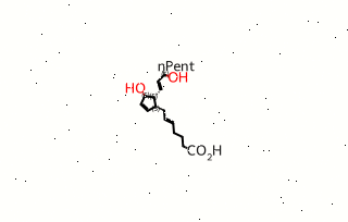 CCCCC[C@H](O)C=C[C@H]1[C@H](O)C=C[C@@H]1CC=CCCCC(=O)O